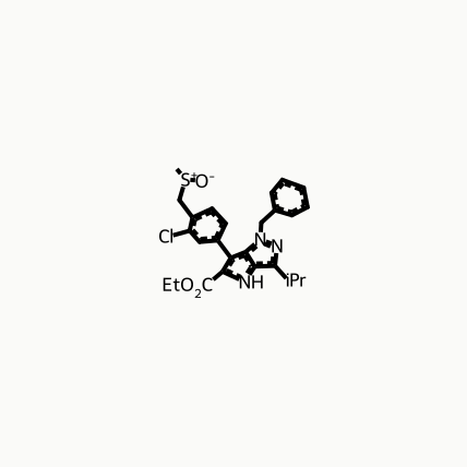 CCOC(=O)c1[nH]c2c(C(C)C)nn(Cc3ccccc3)c2c1-c1ccc(C[S+](C)[O-])c(Cl)c1